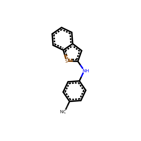 N#Cc1ccc(Nc2cc3ccccc3s2)cc1